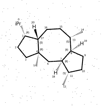 CC(C)[C@H]1CC[C@]2(C)C[C@H]3[C@H](CC[C@@H]3C)[C@@H](C)CC[C@@H]12